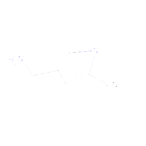 Cn1cc(CN)cc1C#N